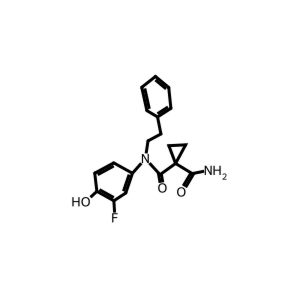 NC(=O)C1(C(=O)N(CCc2ccccc2)c2ccc(O)c(F)c2)CC1